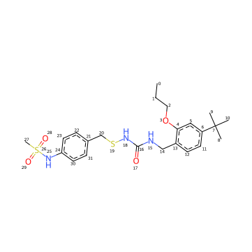 CCCOc1cc(C(C)(C)C)ccc1CNC(=O)NSCc1ccc(NS(C)(=O)=O)cc1